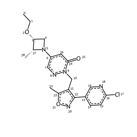 CCO[C@@H]1CN(c2cnn(Cc3c(-c4ccc(Cl)nc4)noc3C)c(=O)c2)[C@@H]1C